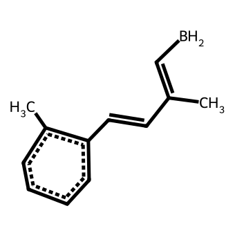 BC=C(C)C=Cc1ccccc1C